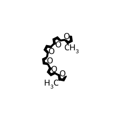 Cc1ccoc1-c1ccc(-c2ccc(-c3ccc(-c4ccc(-c5occc5C)o4)o3)o2)o1